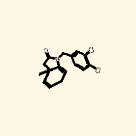 CC12CCCC=C1N(Cc1ccc(Cl)c(Cl)c1)C(=O)C2